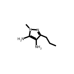 CCCc1nn(C)c(N)c1N